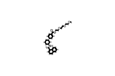 COCCOCCOCCOC(=O)C1=CCC([C@H]2CCC[C@H](N[C@H](C)c3cccc4ccccc34)C2)C=C1